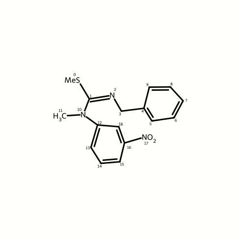 CSC(=NCc1ccccc1)N(C)c1cccc([N+](=O)[O-])c1